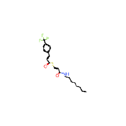 CCCCCCCCNC(=O)C=CSC(=O)C=Cc1ccc(C(F)(F)F)cc1